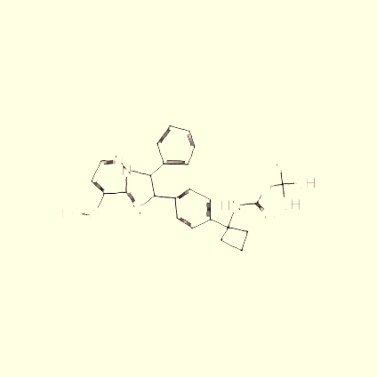 COC1=CC=NN2C1=NC(c1ccc(C3(NC(=O)OC(C)(C)C)CCC3)cc1)C2c1ccccc1